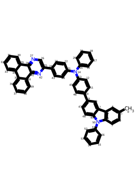 Cc1ccc2c(c1)c1cc(-c3ccc(N(c4ccccc4)c4ccc(-c5cnc6c7ccccc7c7ccccc7c6n5)cc4)cc3)ccc1n2-c1ccccc1